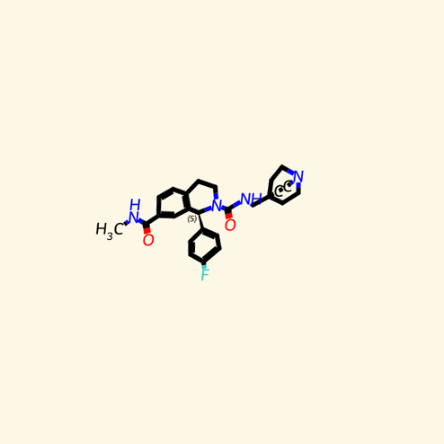 CNC(=O)c1ccc2c(c1)[C@H](c1ccc(F)cc1)N(C(=O)NCC13CCN(CC1)CC3)CC2